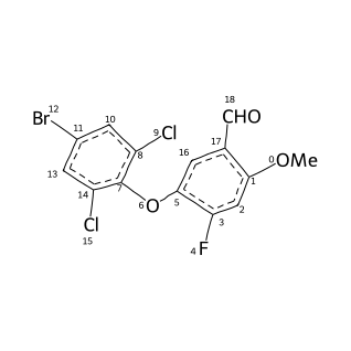 COc1cc(F)c(Oc2c(Cl)cc(Br)cc2Cl)cc1C=O